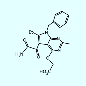 CCc1c(C(=O)C(N)=O)c2c(OCC(=O)O)nc(C)nc2n1Cc1ccccc1